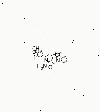 COc1ccc(C2CCC3=C(CCN(c4ccccc4C)C3=O)C(C(N)=O)=N2)cc1F